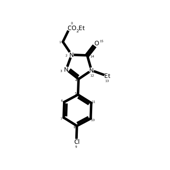 CCOC(=O)Cn1nc(-c2ccc(Cl)cc2)n(CC)c1=O